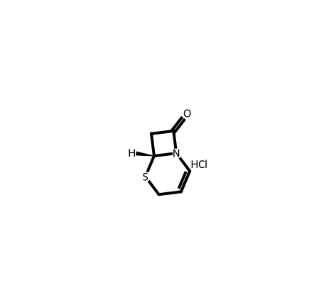 Cl.O=C1C[C@H]2SCC=CN12